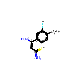 COc1ccc(/C(N)=C\C(N)=S)cc1F